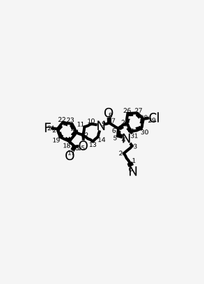 N#CCCn1cc(C(=O)N2CCC3(CC2)OC(=O)c2cc(F)ccc23)c2ccc(Cl)cc21